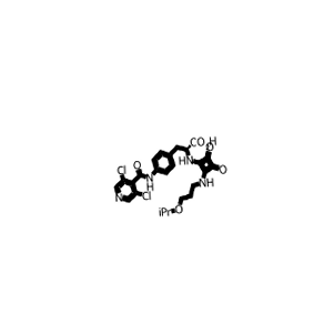 CC(C)OCCCNc1c(N[C@@H](Cc2ccc(NC(=O)c3c(Cl)cncc3Cl)cc2)C(=O)O)c(=O)c1=O